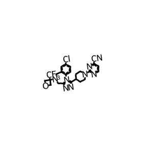 N#Cc1ccnc(N2CCC(c3nnc4n3-c3ccc(Cl)cc3CN(C3(C(F)(F)F)COC3)C4)CC2)n1